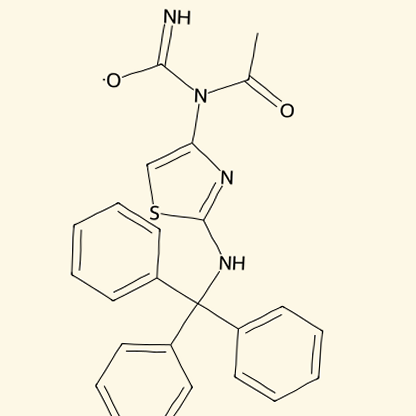 CC(=O)N(C(=N)[O])c1csc(NC(c2ccccc2)(c2ccccc2)c2ccccc2)n1